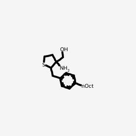 CCCCCCCCc1ccc(CC2SCCC2(N)CO)cc1